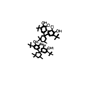 CC1CC(C)(C)CC(c2cc(Br)c(O)c(C(C)(C)C)c2)(c2cc(Br)c(O)c(C(C)(C)C)c2)C1.CC1CC(C)(C)CC(c2cc(Cl)c(O)c(C(C)(C)C)c2)(c2cc(Cl)c(O)c(C(C)(C)C)c2)C1